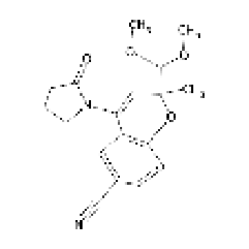 COC(OC)C1(C)C=C(N2CCCC2=O)c2cc(C#N)ccc2O1